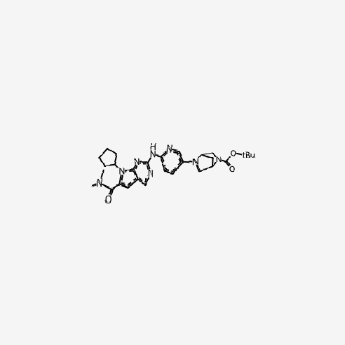 CN(C)C(=O)c1cc2cnc(Nc3ccc(N4CC5CC4CN5C(=O)OC(C)(C)C)cn3)nc2n1C1CCCC1